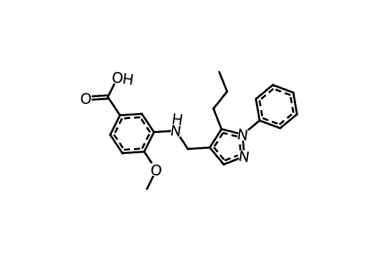 CCCc1c(CNc2cc(C(=O)O)ccc2OC)cnn1-c1ccccc1